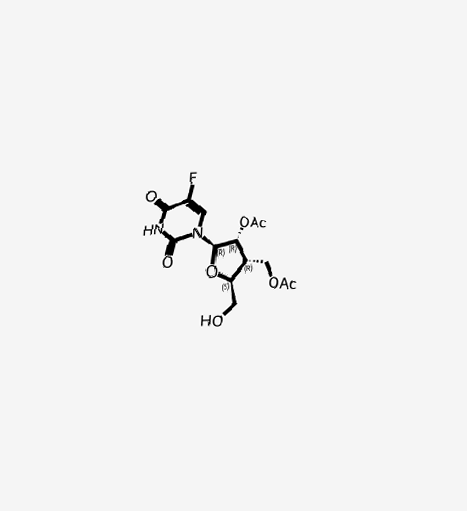 CC(=O)OC[C@H]1[C@@H](OC(C)=O)[C@H](n2cc(F)c(=O)[nH]c2=O)O[C@@H]1CO